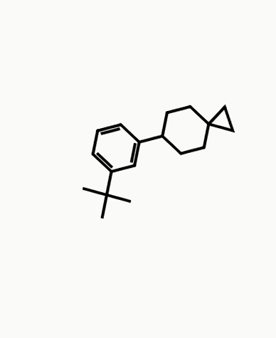 CC(C)(C)c1cccc(C2CCC3(CC2)CC3)c1